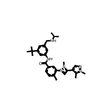 Cc1ccc(C(=O)Nc2cc(CNC(C)C)cc(C(C)(C)C)c2)cc1-n1cc(-c2cnn(C)c2C)n1C